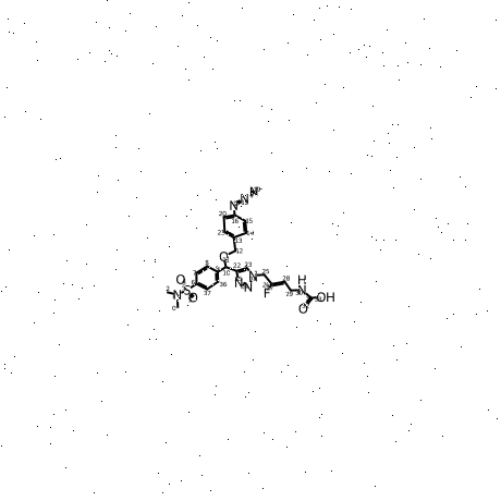 CN(C)S(=O)(=O)c1ccc(C(OCc2ccc(N=[N+]=[N-])cc2)c2cn(C/C(F)=C/CNC(=O)O)nn2)cc1